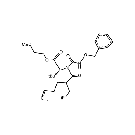 C=CCCC(CC(C)C)C(=O)N(C(=O)NOCc1ccccc1)[C@H](C(=O)OCCOC)C(C)(C)C